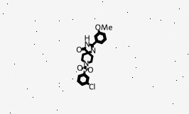 COc1cccc(C2=NC3(CCN(S(=O)(=O)c4cccc(Cl)c4)CC3)C(=O)N2)c1